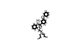 CCCN(CCC)CCOc1ccccc1NC(=O)c1cccc(Oc2ccccc2)c1